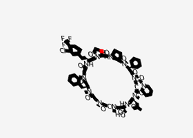 CC(C)C[C@H]1C(=O)N[C@@H](CO)C(=O)N(C)CC(=O)N(C)CC(=O)N(C)[C@@H](CC2CCCCC2)C(=O)N(C)CC(=O)N[C@@H](CCc2ccc(C(F)(F)F)c(Cl)c2)C(=O)N2CCC[C@H]2C(=O)NC2(CCCC2)C(=O)N(C)[C@@H](C2CCCCC2)C(=O)N(C)[C@H](C(=O)N2CCCCC2)CC(=O)N1C